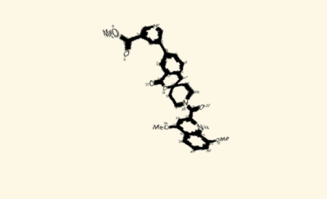 COC(=O)c1cncc(-c2ccc3c(c2)C(=O)OC2(CCN(C(=O)c4cc(OC)c5cccc(OC)c5n4)CC2)C3)c1